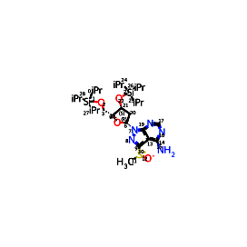 CC(C)[Si](OC[C@H]1O[C@@H](n2nc([S+](C)[O-])c3c(N)ncnc32)C[C@@H]1O[Si](C(C)C)(C(C)C)C(C)C)(C(C)C)C(C)C